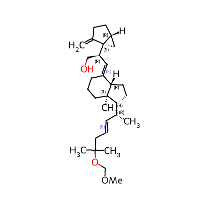 C=C1CC[C@@H]2C[C@]12[C@@H](/C=C1\CCC[C@]2(C)[C@@H]([C@H](C)/C=C/CC(C)(C)OCOC)CC[C@@H]12)CO